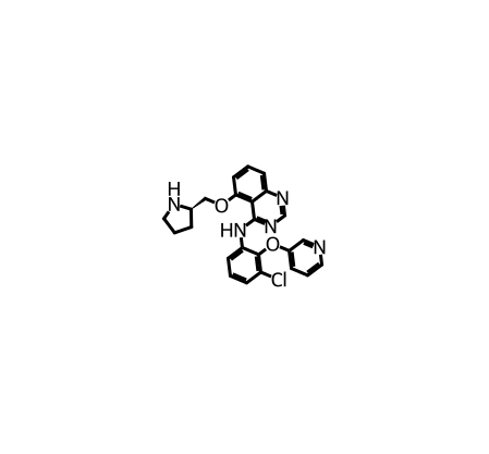 Clc1cccc(Nc2ncnc3cccc(OC[C@H]4CCCN4)c23)c1Oc1cccnc1